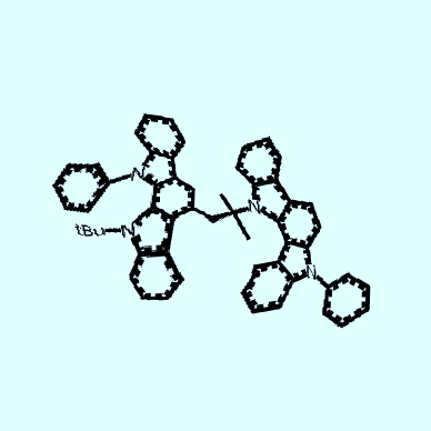 CC(C)(C)n1c2ccccc2c2c(CC(C)(C)n3c4ccccc4c4ccc5c(c6ccccc6n5-c5ccccc5)c43)cc3c4ccccc4n(-c4ccccc4)c3c21